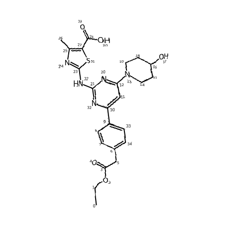 CCOC(=O)Cc1ccc(-c2cc(N3CCC(O)CC3)nc(Nc3nc(C)c(C(=O)O)s3)n2)cc1